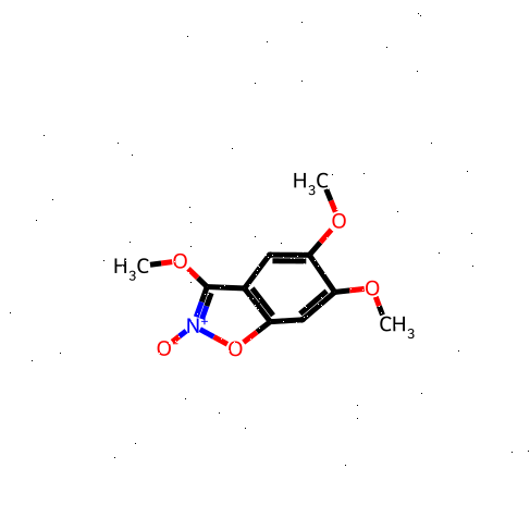 COc1cc2o[n+]([O-])c(OC)c2cc1OC